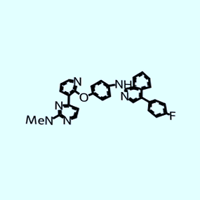 CNc1nccc(-c2cccnc2Oc2ccc(Nc3ncc(-c4ccc(F)cc4)c4ccccc34)cc2)n1